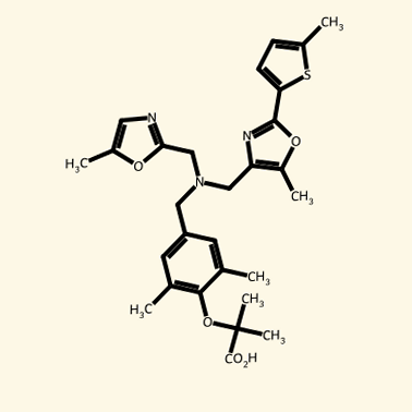 Cc1cnc(CN(Cc2cc(C)c(OC(C)(C)C(=O)O)c(C)c2)Cc2nc(-c3ccc(C)s3)oc2C)o1